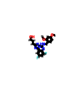 COc1ccc(CNc2nc3c(F)cc(F)cc3c3nc(CCCO)nn23)c(OC)c1